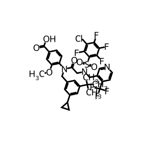 COc1cc(C(=O)O)ccc1N(Cc1cc(C2CC2)cc(C(C)(C)C)c1)C(=O)CN(Cc1cnccc1C(F)(F)F)S(=O)(=O)c1c(F)c(F)c(F)c(Cl)c1F